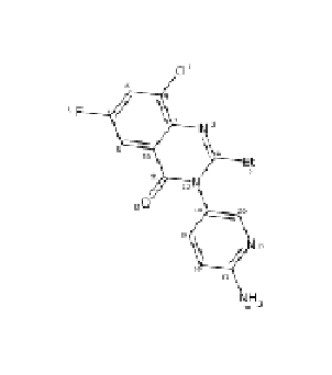 CCc1nc2c(Cl)cc(F)cc2c(=O)n1-c1ccc(N)nc1